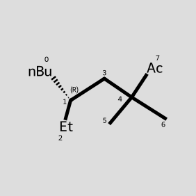 CCCC[C@@H](CC)CC(C)(C)C(C)=O